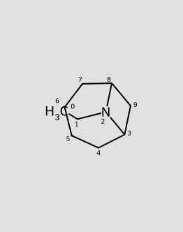 CCN1C2CCCCC1C2